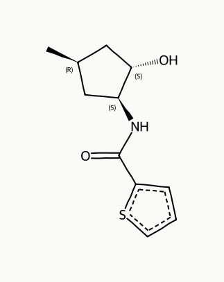 C[C@@H]1C[C@H](NC(=O)c2cccs2)[C@@H](O)C1